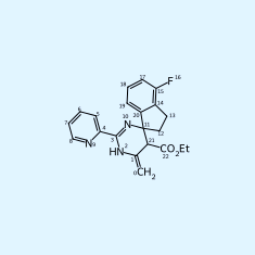 C=C1NC(c2ccccn2)=NC2(CCc3c(F)cccc32)C1C(=O)OCC